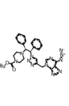 CC(C)(C)OC(=O)N1CCN([C@@H](c2ccccc2)[C@@H](c2ccccc2)n2cc(Cn3cnc(N=[N+]=[N-])c4ncnc3-4)nn2)CC1